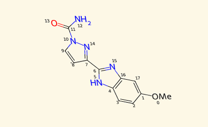 COc1ccc2[nH]c(-c3[c]cn(C(N)=O)n3)nc2c1